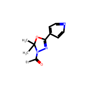 CCC(=O)N1N=C(c2ccncc2)OC1(C)C